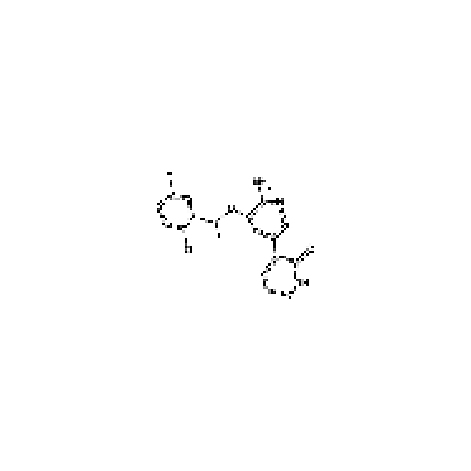 CC(Oc1cc(-c2ccc[nH]c2=O)cnc1N)c1cc(F)ccc1Cl